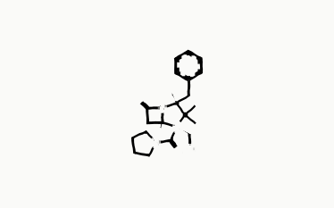 CC1(C)[C@](Cc2ccccc2)(C(=O)O)N2C(=O)C[C@H]2[S@@]1(CO)C(=O)N1CCCC1